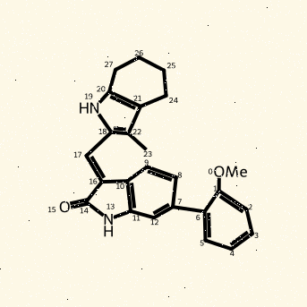 COc1ccccc1-c1ccc2c(c1)NC(=O)C2=Cc1[nH]c2c(c1C)CCCC2